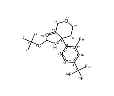 CC(C)(C)OCNC1(c2ncc(C(F)(F)F)cc2F)CCOCC1=O